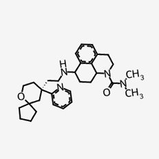 CN(C)C(=O)N1CCc2cccc3c2C1CCC3NCC[C@@]1(c2ccccn2)CCOC2(CCCC2)C1